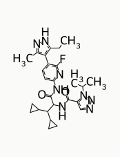 CCc1[nH]nc(C)c1-c1ccc(NC(=O)C(NC(=O)c2cnnn2C(C)C)C(C2CC2)C2CC2)nc1F